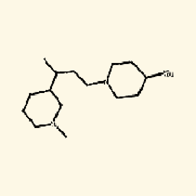 CC(CCN1CCC(C(C)(C)C)CC1)C1CCCN(C)C1